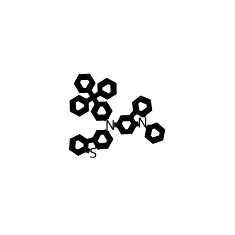 c1ccc(-n2c3ccccc3c3cc(N(c4ccc(C(c5ccccc5)(c5ccccc5)c5ccccc5)cc4)c4ccc5sc6ccccc6c5c4)ccc32)cc1